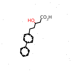 O=C(O)CC(O)CCc1ccc(-c2ccccc2)cc1